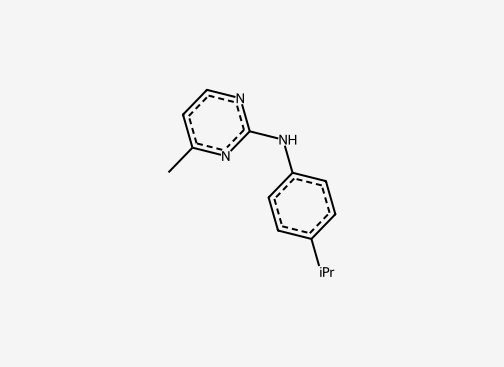 Cc1ccnc(Nc2ccc(C(C)C)cc2)n1